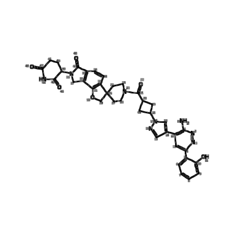 Nc1nnc(-c2ccccc2O)cc1-c1cnn(C2CC(C(=O)N3CCC4(CC3)COc3c4ccc4c3CN(C3CCC(=O)NC3=O)C4=O)C2)c1